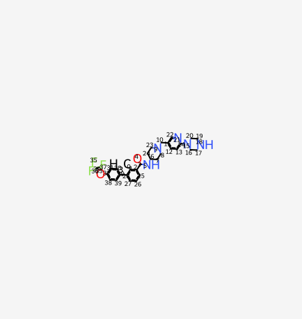 Cc1c(C(=O)NC2CCN(Cc3ccc(N4CCNCC4)nc3)CC2)cccc1-c1ccc(OC(F)(F)F)cc1